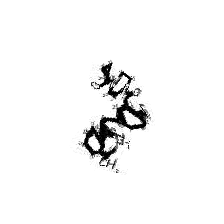 C=C1NN=C(Cc2ccc(F)c(C(=O)N3CCN(C(=O)C4CC4)CC3)c2)C2C=CC=CC12